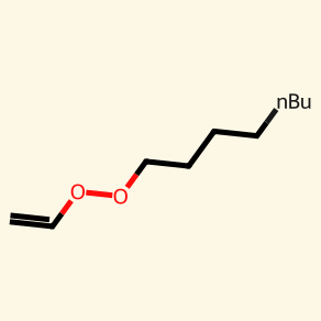 C=COOCCCCCCCC